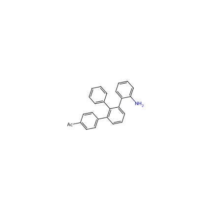 CC(=O)c1ccc(-c2cccc(-c3ccccc3N)c2-c2ccccc2)cc1